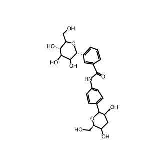 O=C(Nc1ccc(C2O[C@H](CO)C(O)C[C@@H]2O)cc1)c1cccc([C@H]2OC(CO)[C@@H](O)C(O)C2O)c1